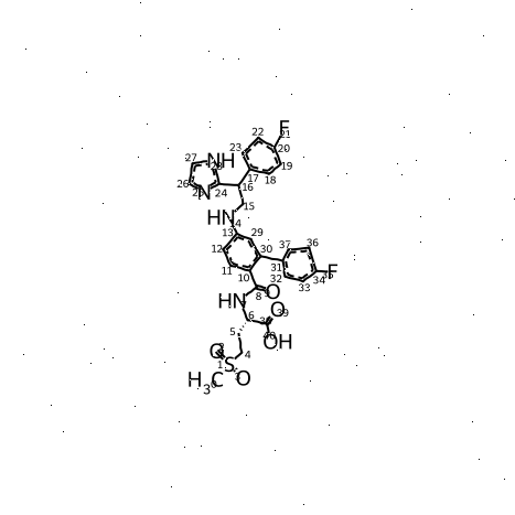 CS(=O)(=O)CC[C@H](NC(=O)c1ccc(NCC(c2ccc(F)cc2)c2ncc[nH]2)cc1-c1ccc(F)cc1)C(=O)O